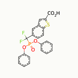 O=C(O)c1cc2cc(C(F)(F)P(=O)(Oc3ccccc3)Oc3ccccc3)ccc2s1